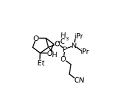 CCC12COC([C@H](C)O1)[C@@H]2OP(OCCC#N)N(C(C)C)C(C)C